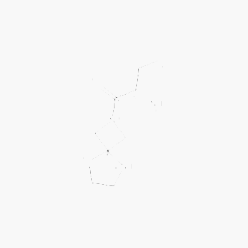 N[C@@H](CO)C(=O)N1CC2(C1)NCCS2